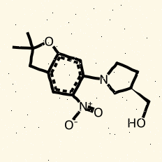 CC1(C)Cc2cc([N+](=O)[O-])c(N3CC[C@@H](CO)C3)cc2O1